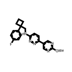 COc1ncc(-c2ccc(NCC3(c4ccc(F)cc4)CCC3)nn2)cn1